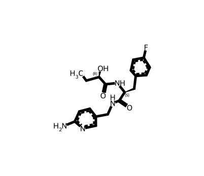 CC[C@@H](O)C(=O)N[C@@H](Cc1ccc(F)cc1)C(=O)NCc1ccc(N)nc1